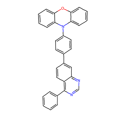 c1ccc(-c2ncnc3cc(-c4ccc(N5c6ccccc6Oc6ccccc65)cc4)ccc23)cc1